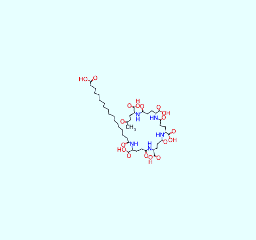 CC(=O)CC[C@H](NC(=O)CC[C@H](NC(=O)CC[C@H](NC(=O)CC[C@H](NC(=O)CC[C@H](NC(=O)CCCCCCCCCCCCCCCCC(=O)O)C(=O)O)C(=O)O)C(=O)O)C(=O)O)C(=O)O